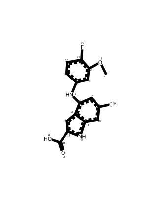 COc1cc(Nc2cc(Cl)cc3[nH]c(C(=O)O)cc23)ccc1F